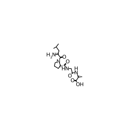 CC(C)C[C@H](N)C(=O)N1CCC[C@H]1C(=O)NCC(=O)N[C@@H](C)C(=O)O